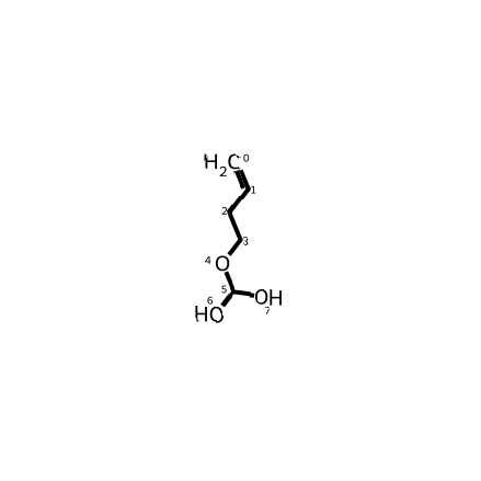 C=CCCOC(O)O